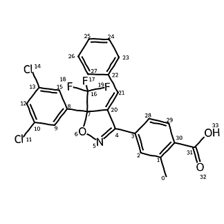 Cc1cc(C2=NOC(c3cc(Cl)cc(Cl)c3)(C(F)(F)F)C2=Cc2ccccc2)ccc1C(=O)O